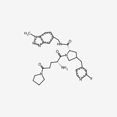 Cn1nnc2cc(CNC(=O)[C@@H]3CC(Cc4ccnc(F)c4)CN3C(=O)[C@H](N)CCC(=O)N3CCCC3)ccc21